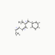 C\C=C/C=N\C(N)=N/c1ccccc1